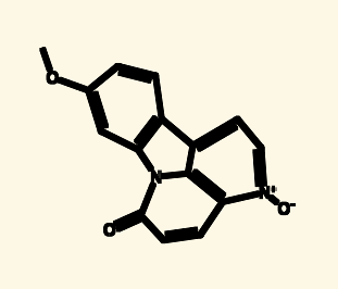 COc1ccc2c3cc[n+]([O-])c4ccc(=O)n(c2c1)c34